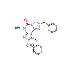 CCCN1C(=O)N2C[C@@H](Cc3ccccc3)N=C2c2c1nc(C=O)n2Cc1ccccc1